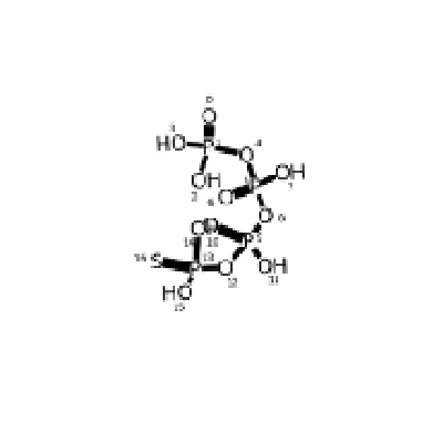 O=P(O)(O)OP(=O)(O)OP(=O)(O)OP(O)(O)=S